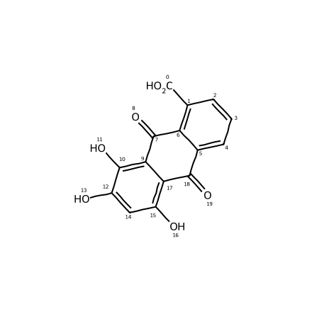 O=C(O)c1cccc2c1C(=O)c1c(O)c(O)cc(O)c1C2=O